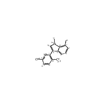 Cc1cccc2c(-c3nc(Cl)ncc3C(F)(F)F)cn(C)c12